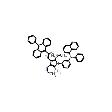 C=Nc1c(/C=C(\C)c2c3ccccc3c(-c3ccccc3)c3ccccc23)c(/C=C\C)c(C)n1-c1cccc(N(c2ccccc2)c2cccc3ccccc23)c1